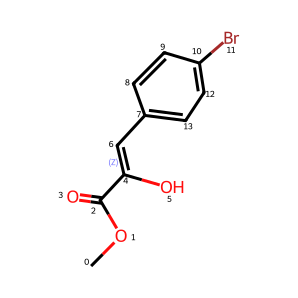 COC(=O)/C(O)=C/c1ccc(Br)cc1